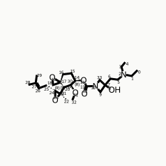 CCN(CC)CCC1(O)CN(C(=O)O[C@@H]2CC[C@]3(CO3)[C@@H]([C@@]3(C)O[C@@H]3CC=C(C)C)[C@@H]2OC)C1